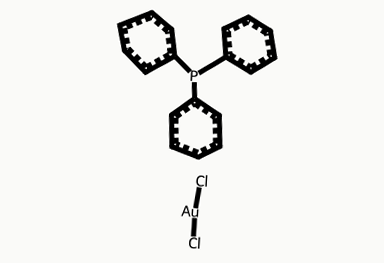 [Cl][Au][Cl].c1ccc(P(c2ccccc2)c2ccccc2)cc1